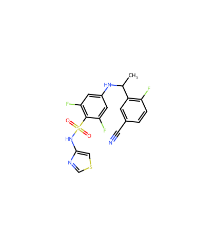 CC(Nc1cc(F)c(S(=O)(=O)Nc2cscn2)c(F)c1)c1cc(C#N)ccc1F